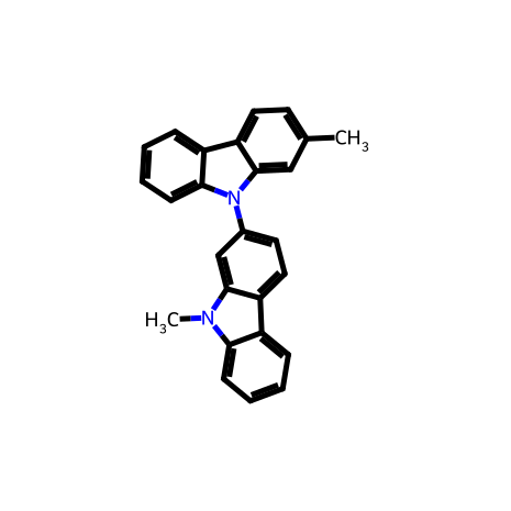 Cc1ccc2c3ccccc3n(-c3ccc4c5ccccc5n(C)c4c3)c2c1